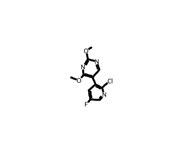 COc1ncc(-c2cc(F)cnc2Cl)c(OC)n1